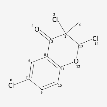 CC1(Cl)C(=O)c2cc(Cl)ccc2OC1Cl